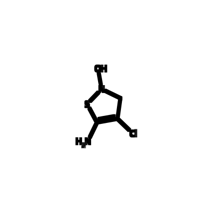 NC1=C(Cl)CN(O)S1